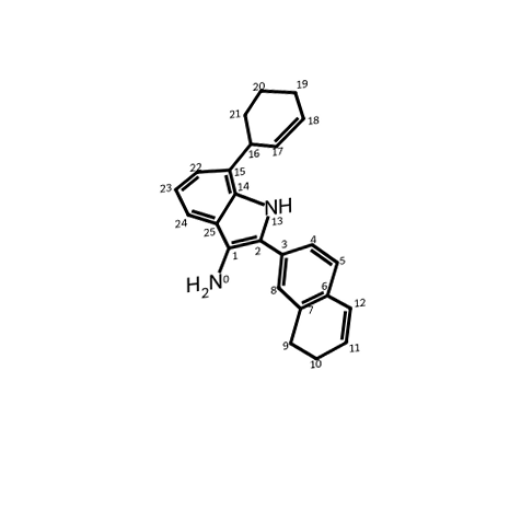 Nc1c(-c2ccc3c(c2)CCC=C3)[nH]c2c(C3C=CCCC3)cccc12